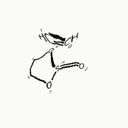 C#C.O=S1OCCO1